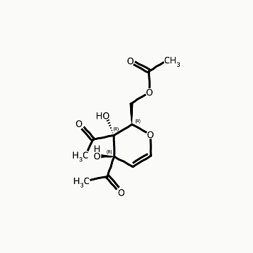 CC(=O)OC[C@H]1OC=C[C@](O)(C(C)=O)[C@@]1(O)C(C)=O